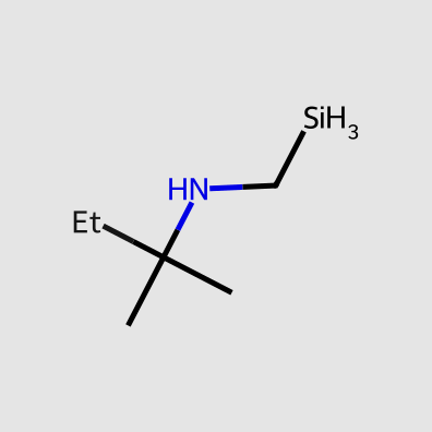 CCC(C)(C)NC[SiH3]